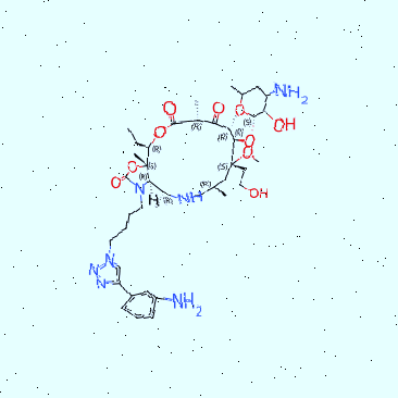 CC[C@H]1OC(=O)[C@H](C)C(=O)[C@H](C)[C@@H](O[C@@H]2OC(C)CC(N)C2O)[C@](CCO)(OC)C[C@@H](C)CN[C@H](C)[C@H]2N(CCCCn3cc(-c4cccc(N)c4)nn3)C(=O)O[C@]12C